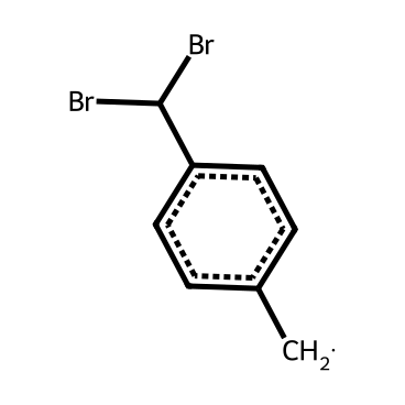 [CH2]c1ccc(C(Br)Br)cc1